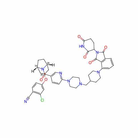 N#Cc1ccc(O[C@H]2C[C@H]3CC[C@@H](C2)N3C(=O)c2ccc(N3CCN(CC4CCN(c5cccc6c5C(=O)N(C5CCC(=O)NC5=O)C6=O)CC4)CC3)nc2)cc1Cl